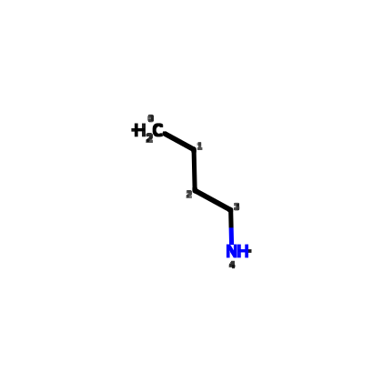 [CH2]CCC[NH]